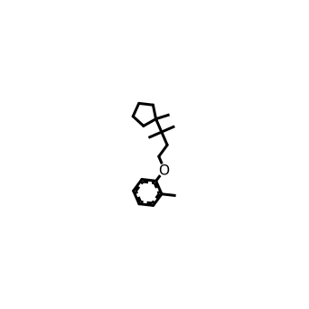 Cc1ccccc1OCCC(C)(C)C1(C)CCCC1